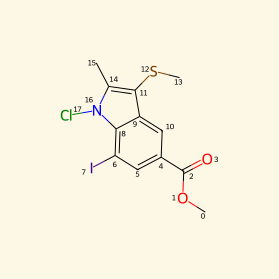 COC(=O)c1cc(I)c2c(c1)c(SC)c(C)n2Cl